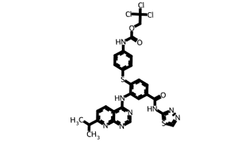 CC(C)c1ccc2c(Nc3cc(C(=O)Nc4nncs4)ccc3Sc3ccc(NC(=O)OCC(Cl)(Cl)Cl)cc3)ncnc2n1